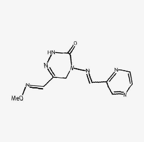 CO/N=C/C1=NNC(=O)N(/N=C/c2cnccn2)C1